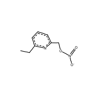 CCc1cccc(CO[N+](=O)[O-])n1